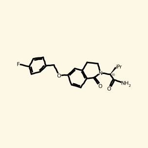 CC(C)[C@@H](C(N)=O)N1CCc2cc(OCc3ccc(F)cc3)ccc2C1=O